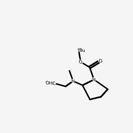 CN(CC=O)C1CCCN1C(=O)OC(C)(C)C